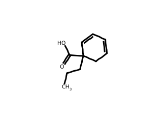 CCCC1(C(=O)O)C=CC=CC1